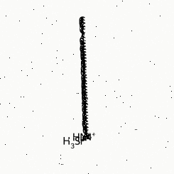 C=C=C=C=C=C=C=C=C=C=C=C=C=C=C=C=C=C=C=C=C=C=C=C=C=C=C=C=C=C=C=C=C=C=C=C=C=C=C=C=C=C(NC[SiH3])[N+](C)(C)C